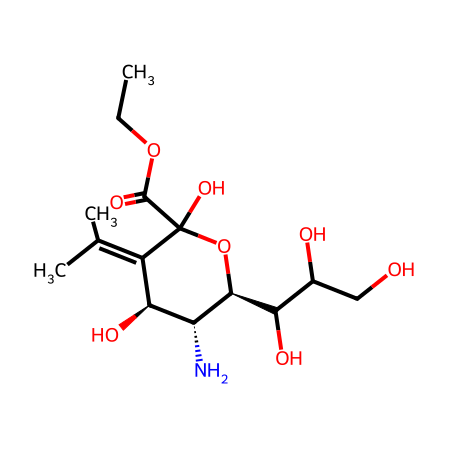 CCOC(=O)C1(O)O[C@@H](C(O)C(O)CO)[C@H](N)[C@@H](O)C1=C(C)C